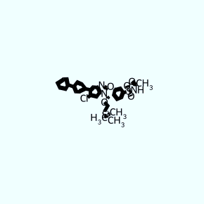 CC(=O)NS(=O)(=O)c1cccc(Oc2nc3cc(-c4ccc(-c5ccccc5)cc4)c(Cl)cc3n2COCC[Si](C)(C)C)c1